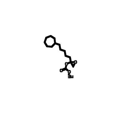 CCC(C)OC(=O)OC1(CCCCCC2CCCCCC2)CO1